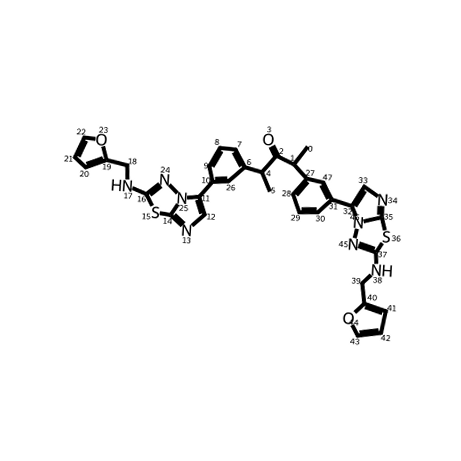 CC(C(=O)C(C)c1cccc(-c2cnc3sc(NCc4ccco4)nn23)c1)c1cccc(-c2cnc3sc(NCc4ccco4)nn23)c1